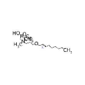 CCCCCC/C=C/COCC(C[N+](C)(C)CC(=O)O)OC